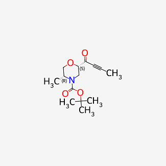 CC#CC(=O)[C@@H]1CN(C(=O)OC(C)(C)C)[C@H](C)CO1